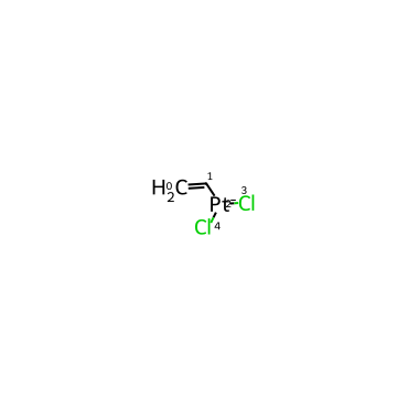 C=[CH][Pt-]([Cl])[Cl]